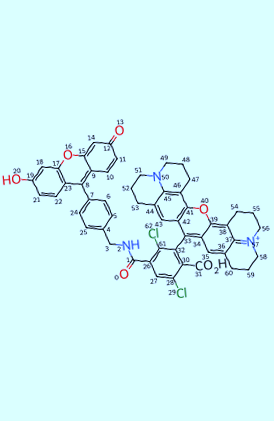 O=C(NCc1ccc(-c2c3ccc(=O)cc-3oc3cc(O)ccc23)cc1)c1cc(Cl)c(C(=O)O)c(C2=c3cc4c5c(c3Oc3c2cc2c6c3CCCN6CCC2)CCC[N+]=5CCC4)c1Cl